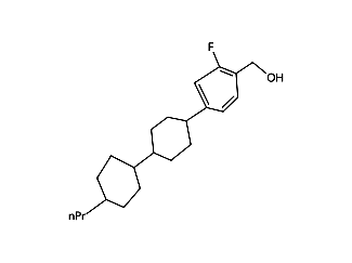 CCCC1CCC(C2CCC(c3ccc(CO)c(F)c3)CC2)CC1